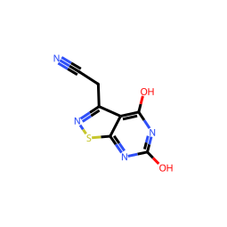 N#CCc1nsc2nc(O)nc(O)c12